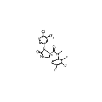 CN(C(=O)[C@@H]1CNC(=O)N1c1cc(C(F)(F)F)c(Cl)nn1)c1ccc(F)c(Cl)c1F